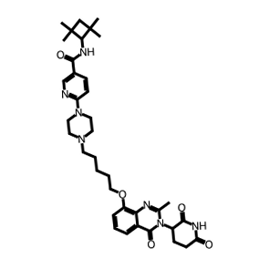 Cc1nc2c(OCCCCCN3CCN(c4ccc(C(=O)NC5C(C)(C)CC5(C)C)cn4)CC3)cccc2c(=O)n1C1CCC(=O)NC1=O